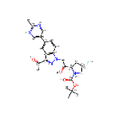 CC(=O)c1nn(CC(=O)[C@H]2C[C@H](F)CN2C(=O)OC(C)(C)C)c2ccc(-c3cnc(C)nc3)cc12